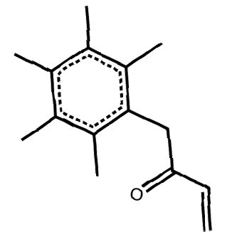 C=CC(=O)Cc1c(C)c(C)c(C)c(C)c1C